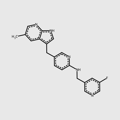 Cc1cnc2[nH]cc(Cc3ccc(NCc4cncc(F)c4)nc3)c2c1